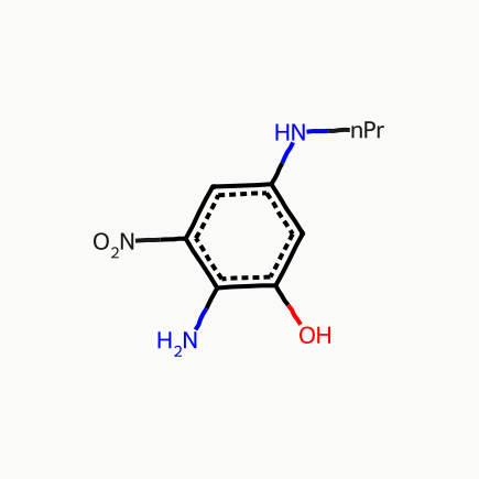 CCCNc1cc(O)c(N)c([N+](=O)[O-])c1